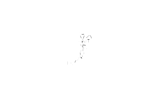 C/C=C/CCC(=O)N1CCC(c2nc(C(=O)Nc3ccc(C)cc3-c3ccccc3)cs2)CC1